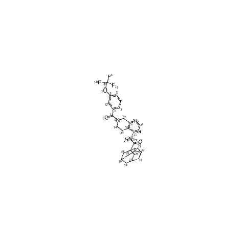 O=C(c1cccc(OC(F)(F)F)c1)N1CCc2c(ncnc2NC(=O)C23CC4CC(CC(C4)C2)C3)C1